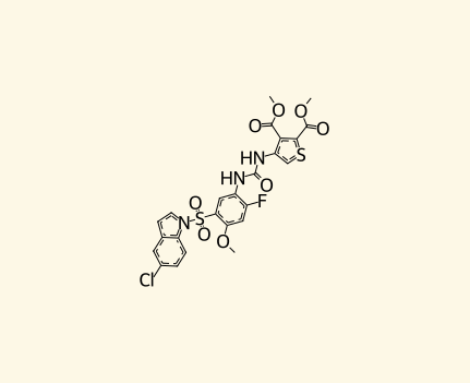 COC(=O)c1scc(NC(=O)Nc2cc(S(=O)(=O)n3ccc4cc(Cl)ccc43)c(OC)cc2F)c1C(=O)OC